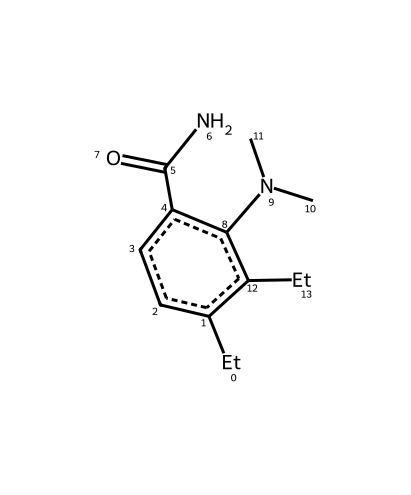 CCc1ccc(C(N)=O)c(N(C)C)c1CC